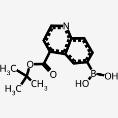 CC(C)(C)OC(=O)c1ccnc2ccc(B(O)O)cc12